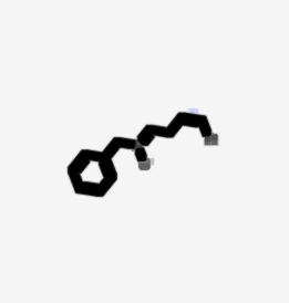 CC/C=C\CC=[N+]([O-])Cc1ccccc1